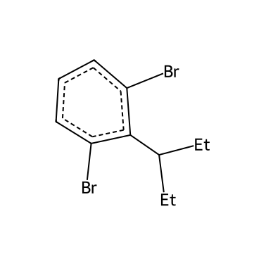 CCC(CC)c1c(Br)cccc1Br